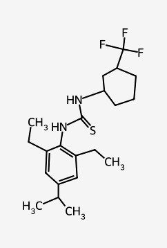 CCc1cc(C(C)C)cc(CC)c1NC(=S)NC1CCCC(C(F)(F)F)C1